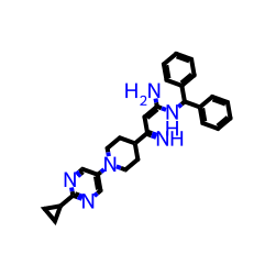 N=C(/C=C(/N)NC(c1ccccc1)c1ccccc1)C1CCN(c2cnc(C3CC3)nc2)CC1